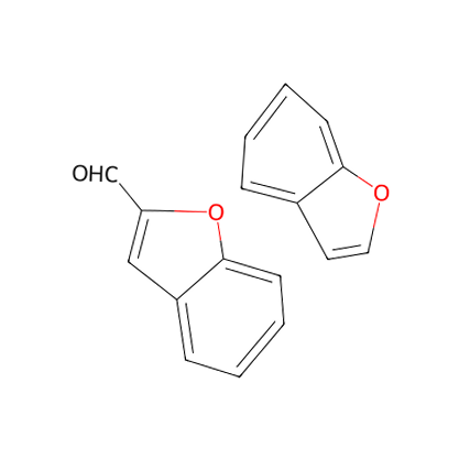 O=Cc1cc2ccccc2o1.c1ccc2occc2c1